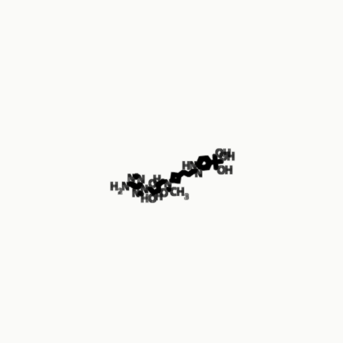 CC1O[C@H]2[C@@H](O)[C@H](n3cnc4c(N)ncnc43)O[C@@H]2CN1C1CC(CCc2nc3cc(C(CO)(CO)CO)ccc3[nH]2)C1